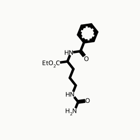 CCOC(=O)C(CCCNC(N)=O)NC(=O)c1ccccc1